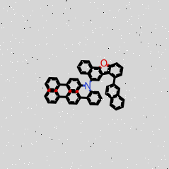 c1ccc(-c2ccc(-c3ccccc3N(c3ccc(-c4ccccc4)cc3)c3cc4c(oc5cccc(-c6ccc7ccccc7c6)c54)c4ccccc34)cc2)cc1